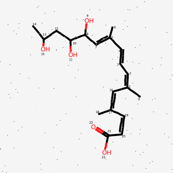 CC(=CC=CC(C)=CC(O)C(O)CC(C)O)C=C(C)C=CC(=O)O